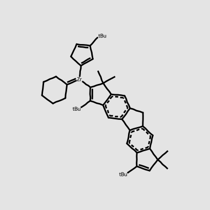 CC(C)(C)C1=CC[C]([Zr]([C]2=C(C(C)(C)C)c3cc4c(cc3C2(C)C)Cc2cc3c(cc2-4)C(C(C)(C)C)=CC3(C)C)=[C]2CCCCC2)=C1